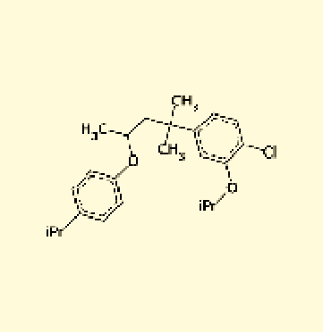 CC(C)Oc1cc(C(C)(C)CC(C)Oc2ccc(C(C)C)cc2)ccc1Cl